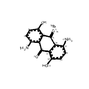 Br.Nc1ccc(O)c2c1C(=O)c1c(O)ccc(N)c1C2=O